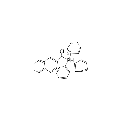 CC(c1ccc2ccccc2c1)[PH](c1ccccc1)(c1ccccc1)c1ccccc1